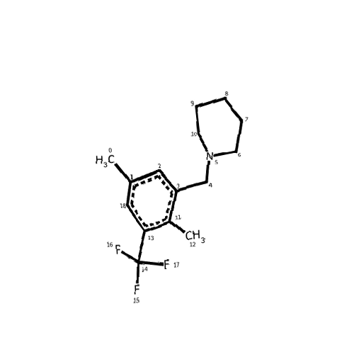 Cc1cc(CN2CCCCC2)c(C)c(C(F)(F)F)c1